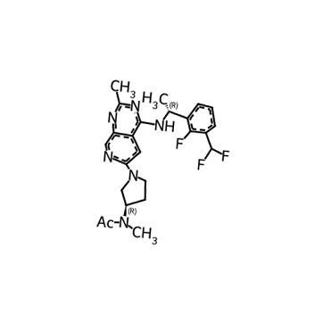 CC(=O)N(C)[C@@H]1CCN(c2cc3c(N[C@H](C)c4cccc(C(F)F)c4F)nc(C)nc3cn2)C1